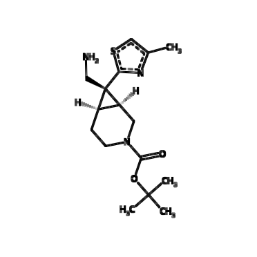 Cc1csc([C@@]2(CN)[C@@H]3CCN(C(=O)OC(C)(C)C)C[C@@H]32)n1